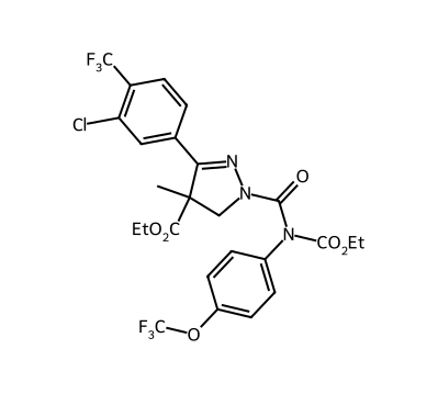 CCOC(=O)N(C(=O)N1CC(C)(C(=O)OCC)C(c2ccc(C(F)(F)F)c(Cl)c2)=N1)c1ccc(OC(F)(F)F)cc1